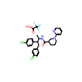 CC(NC(=O)C1CCCN(c2ccccn2)C1)C(Cc1ccc(Cl)cc1)c1ccc(Cl)cc1.O=C(O)C(F)(F)F